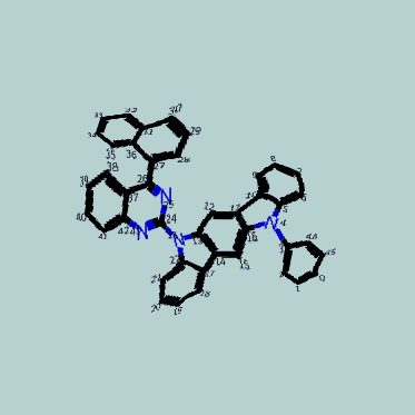 c1ccc(-n2c3ccccc3c3cc4c(cc32)c2ccccc2n4-c2nc(-c3cccc4ccccc34)c3ccccc3n2)cc1